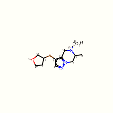 CC1Cn2ncc(SC3CCOC3)c2CN1C(=O)O